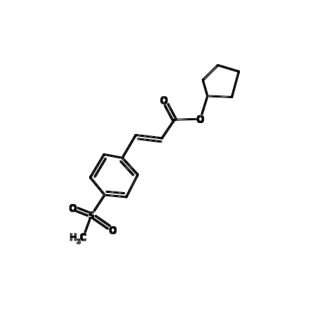 CS(=O)(=O)c1ccc(/C=C/C(=O)OC2CCCC2)cc1